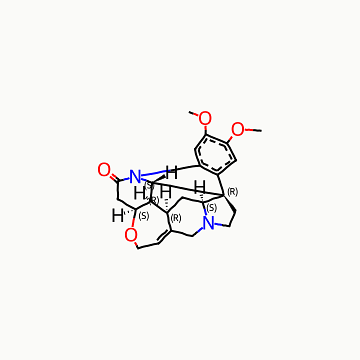 COc1cc2c(cc1OC)[C@@]13CCN4CC5=CCO[C@H]6CC(=O)N2[C@H]1[C@H]6[C@H]5C[C@H]43